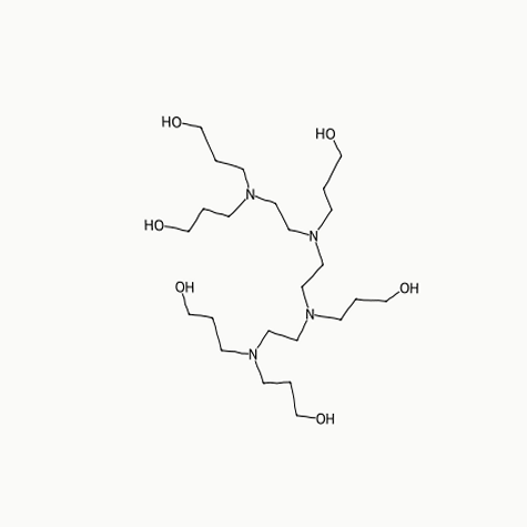 OCCCN(CCCO)CCN(CCCO)CCN(CCCO)CCN(CCCO)CCCO